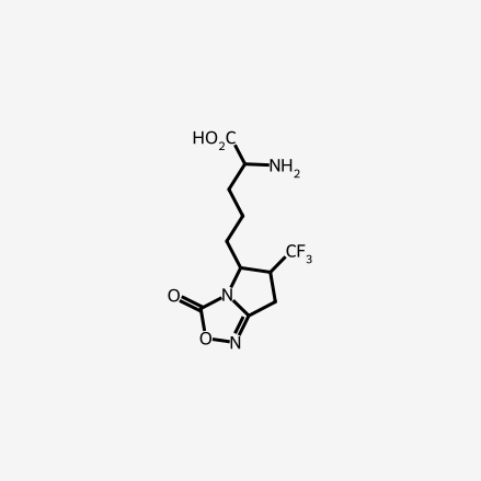 NC(CCCC1C(C(F)(F)F)Cc2noc(=O)n21)C(=O)O